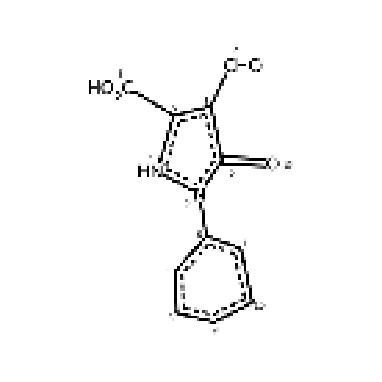 O=Cc1c(C(=O)O)[nH]n(-c2ccccc2)c1=O